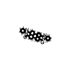 O=c1c2c3c(c4nc5ccccc5n14)=CCC1=C3C(C=C2)c2ccc3c(=O)n4c5ccccc5nc4c4ccc1c2c34